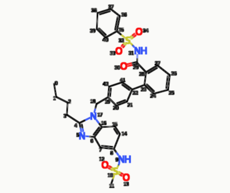 CCCCc1nc2cc(NS(C)(=O)=O)ccc2n1Cc1ccc(-c2ccccc2C(=O)NS(=O)(=O)c2ccccc2)cc1